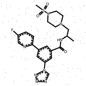 CC(CN1CCN(S(C)(=O)=O)CC1)NC(=O)c1cc(-c2ccc(F)cn2)cc(-n2cnnn2)c1